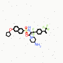 C=C(c1ccc(C(F)(F)[C@H](NS(=O)(=O)c2ccc3cc(OC4CCCC4)ccc3c2)C(=O)N2CCC(N)CC2)cc1)C(F)(F)F